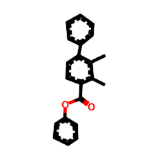 Cc1c(C(=O)Oc2ccccc2)ccc(-c2ccccc2)c1C